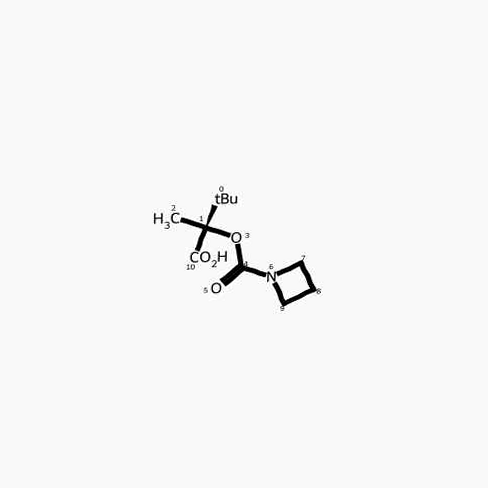 CC(C)(C)[C@@](C)(OC(=O)N1CCC1)C(=O)O